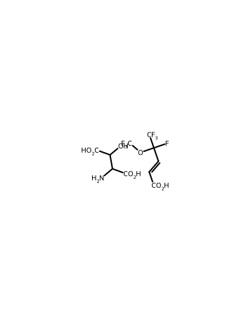 NC(C(=O)O)C(O)C(=O)O.O=C(O)C=CC(F)(OC(F)(F)F)C(F)(F)F